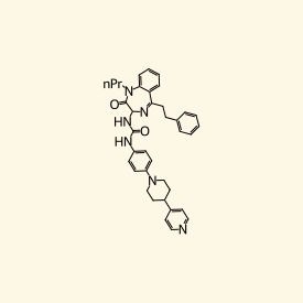 CCCN1C(=O)C(NC(=O)Nc2ccc(N3CCC(c4ccncc4)CC3)cc2)N=C(CCc2ccccc2)c2ccccc21